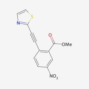 COC(=O)c1cc([N+](=O)[O-])ccc1C#Cc1nccs1